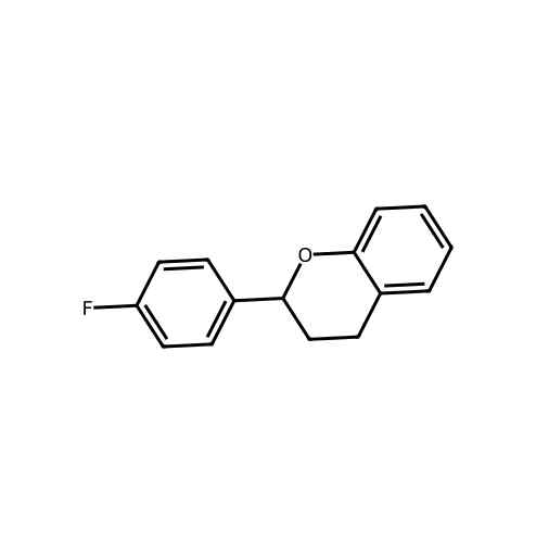 Fc1ccc(C2CCc3ccccc3O2)cc1